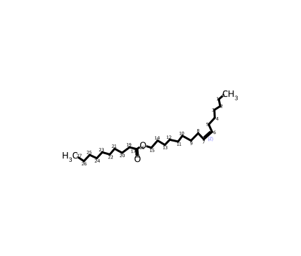 CCCCCC/C=C\CCCCCCCCOC(=O)CCCCCCCCC